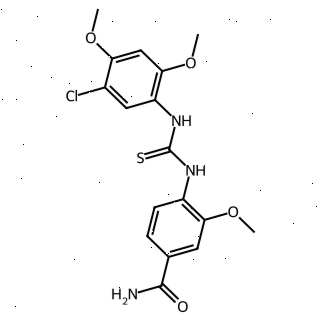 COc1cc(OC)c(NC(=S)Nc2ccc(C(N)=O)cc2OC)cc1Cl